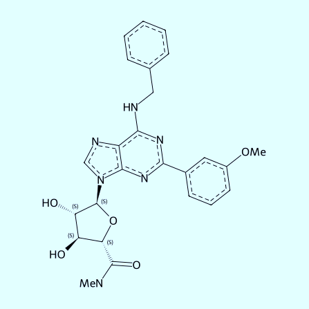 CNC(=O)[C@H]1O[C@H](n2cnc3c(NCc4ccccc4)nc(-c4cccc(OC)c4)nc32)[C@@H](O)[C@@H]1O